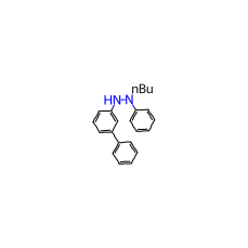 CCCCN(Nc1cccc(-c2ccccc2)c1)c1ccccc1